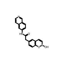 O=C(Cc1ccc2c(c1)C=CB(O)O2)Nc1ccc2cnccc2c1